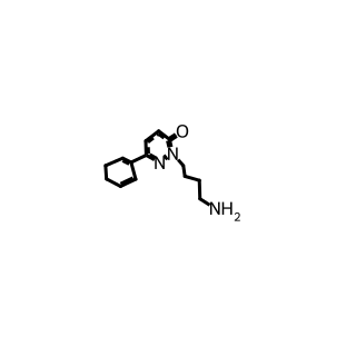 NCCCCn1nc(C2=CCCC=C2)ccc1=O